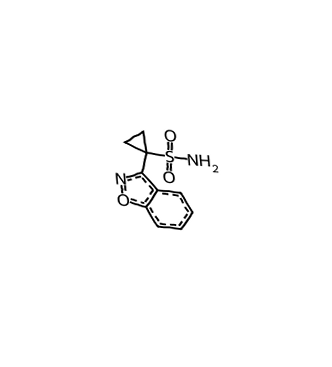 NS(=O)(=O)C1(c2noc3ccccc23)CC1